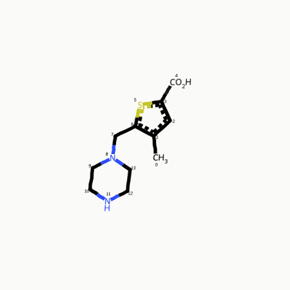 Cc1cc(C(=O)O)sc1CN1CCNCC1